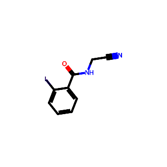 N#CCNC(=O)c1ccccc1I